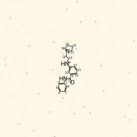 O=C(Nc1ccccc1)c1cccc(NCCN2CCCC2)c1